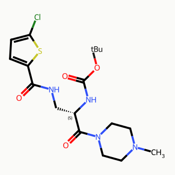 CN1CCN(C(=O)[C@H](CNC(=O)c2ccc(Cl)s2)NC(=O)OC(C)(C)C)CC1